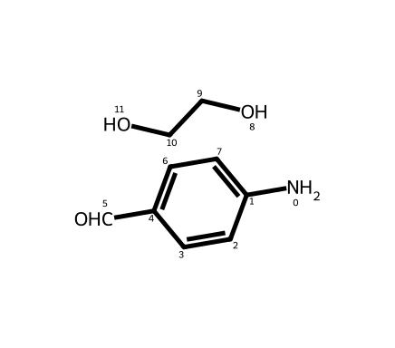 Nc1ccc(C=O)cc1.OCCO